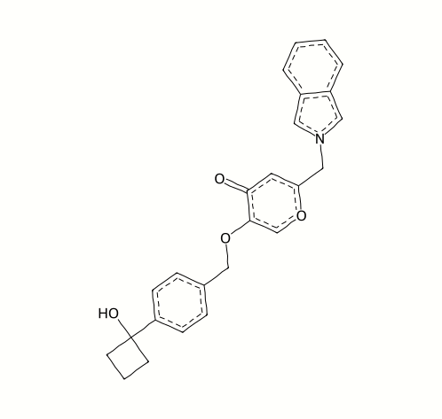 O=c1cc(Cn2cc3ccccc3c2)occ1OCc1ccc(C2(O)CCC2)cc1